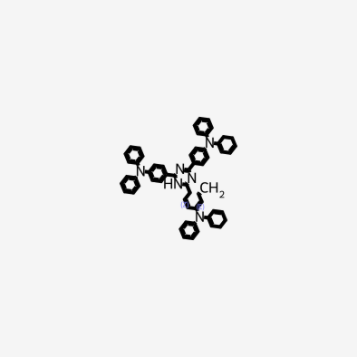 C=C/C=C(\C=C/CC1=NC(c2ccc(N(C3=CC=CCC3)c3ccccc3)cc2)=NC(c2ccc(N(c3ccccc3)c3ccccc3)cc2)N1)N(C1=CCCC=C1)c1ccccc1